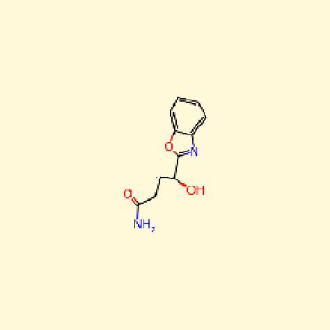 NC(=O)C[CH][C@H](O)c1nc2ccccc2o1